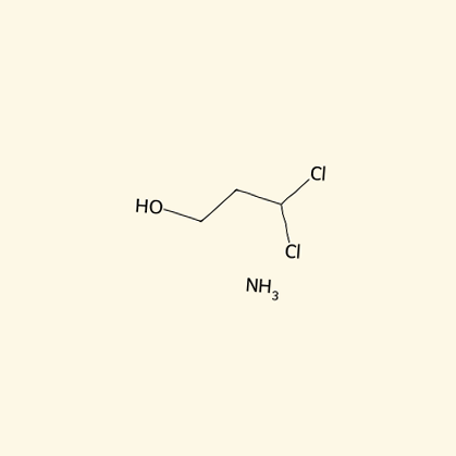 N.OCCC(Cl)Cl